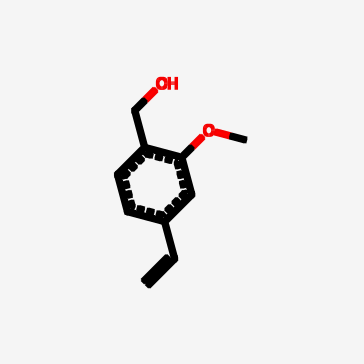 C=Cc1ccc(CO)c(OC)c1